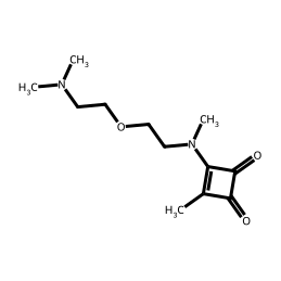 Cc1c(N(C)CCOCCN(C)C)c(=O)c1=O